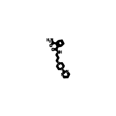 NC(=O)C1C2C=CC(C2)C1C(=O)NCCCN1CCN(c2ncccn2)CC1